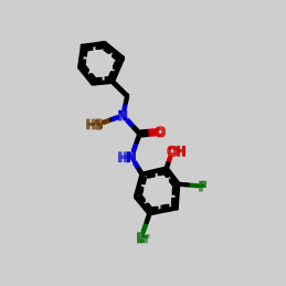 O=C(Nc1cc(Br)cc(F)c1O)N(S)Cc1ccccc1